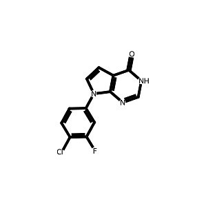 O=c1[nH]cnc2c1ccn2-c1ccc(Cl)c(F)c1